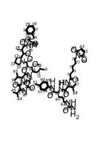 CC[C@H](C)[C@@H]([C@@H](CC(=O)N1CCC[C@H]1[C@H](OC)[C@@H](C)C(=O)NS(=O)(=O)Cc1ccccc1)OC)N(C)C(=O)[C@@H](NC(=O)C(C(C)C)N(C)C(=O)OCc1ccc(NC(=O)[C@H](CCCNC(N)=O)NC(=O)C(NC(=O)CCCCCN2C(=O)C=CC2=O)C(C)C)cc1)C(C)C